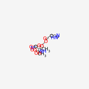 CC1=C(C(=O)O)C(c2cccc([N+](=O)[O-])c2)C(C(=O)OCCCOC(=O)C=Cc2ccc(Cc3ncc[nH]3)cc2)=C(C)N1